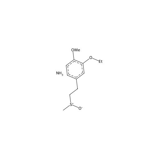 CCOc1cc(CC[S+](C)[O-])ccc1OC.N